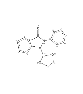 O=C1c2ccccc2C(B2OCCO2)N1c1ccccn1